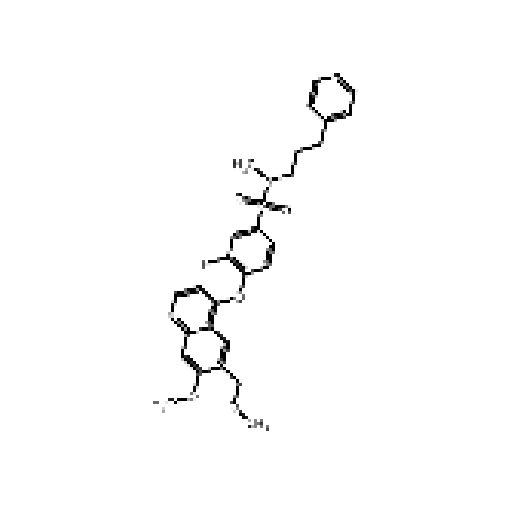 COCc1cc2c(Oc3ccc(S(=O)(=O)N(C)CCCc4ccccc4)cc3F)ccnc2cc1OC